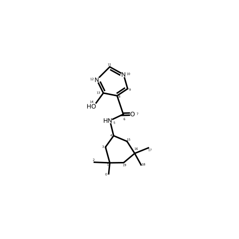 CC1(C)CC(NC(=O)c2cncnc2O)CC(C)(C)C1